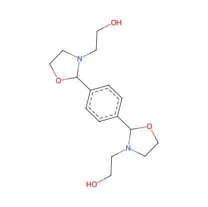 OCCN1CCOC1c1ccc(C2OCCN2CCO)cc1